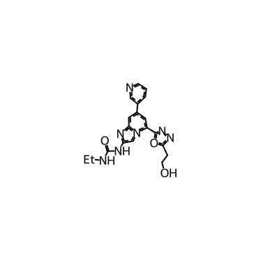 CCNC(=O)Nc1cn2c(-c3nnc(CCO)o3)cc(-c3cccnc3)cc2n1